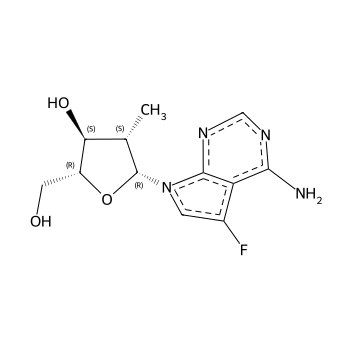 C[C@H]1[C@H](O)[C@@H](CO)O[C@H]1n1cc(F)c2c(N)ncnc21